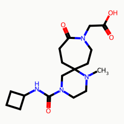 CN1CCN(C(=O)NC2CCC2)CC12CCC(=O)N(CC(=O)O)CC2